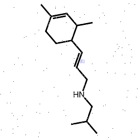 CC1=CC(C)C(/C=C/CNCC(C)C)CC1